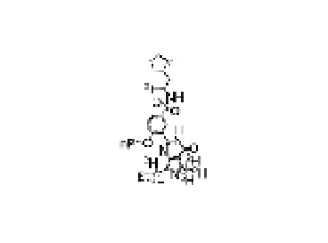 [2H]C(CC1CCCN1C)NS(=O)(=O)c1ccc(OCCC)c(-c2nc3c(C([2H])([2H])CC)nn(C([2H])([2H])[2H])c3c(=O)[nH]2)c1